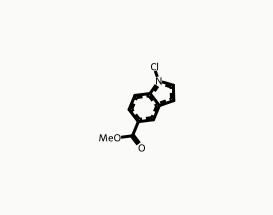 COC(=O)c1ccc2c(ccn2Cl)c1